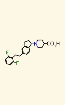 O=C(O)C1CCN(C2CCc3cc(CCc4c(F)cccc4F)ccc32)CC1